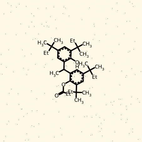 CCC(=O)Oc1c(C(C)c2cc(C(C)(C)CC)cc(C(C)(C)CC)c2O)cc(C(C)(C)CC)cc1C(C)(C)CC